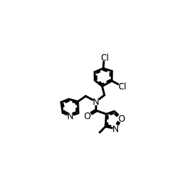 Cc1nocc1C(=O)N(Cc1cccnc1)Cc1ccc(Cl)cc1Cl